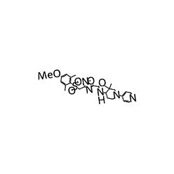 COc1cc(C)c(S(=O)(=O)Cc2noc(C(=O)NC3CCN(c4ccncc4)CC3(C)C)n2)c(C)c1